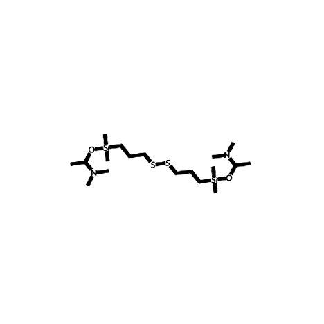 CC(O[Si](C)(C)CCCSSCCC[Si](C)(C)OC(C)N(C)C)N(C)C